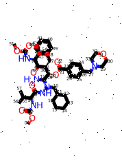 COC(=O)N[C@H](C(=O)NN(CC1CCCCC1)C(N)[C@@H](OC(=O)c1ccc(CN2CCOCC2)cc1)[C@H](Cc1ccccc1)C(=O)[C@@H](NC(=O)OC)C(C)C)C(C)C